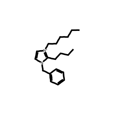 CCCCCC[n+]1ccn(Cc2ccccc2)c1CCCC